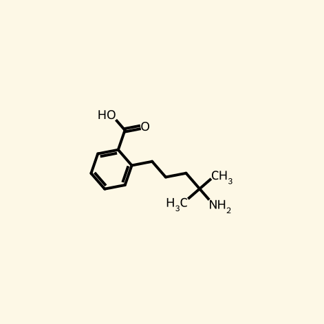 CC(C)(N)CCCc1ccccc1C(=O)O